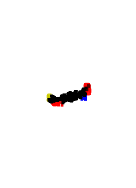 CCC(CC)(c1ccc(C#CC2(O)CCSCC2)c(C)c1)c1ccc(-c2cncc(CC(=O)OC)c2)c(C)c1